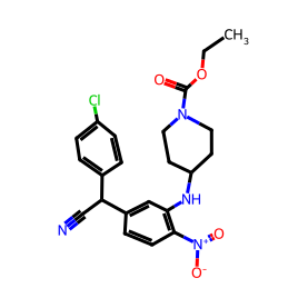 CCOC(=O)N1CCC(Nc2cc(C(C#N)c3ccc(Cl)cc3)ccc2[N+](=O)[O-])CC1